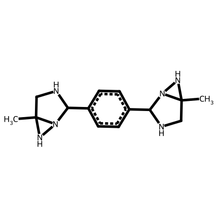 CC12CNC(c3ccc(C4NCC5(C)NN45)cc3)N1N2